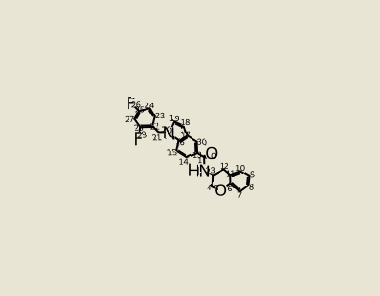 O=C(NC1COc2ccccc2C1)c1ccc2c(ccn2Cc2ccc(F)cc2F)c1